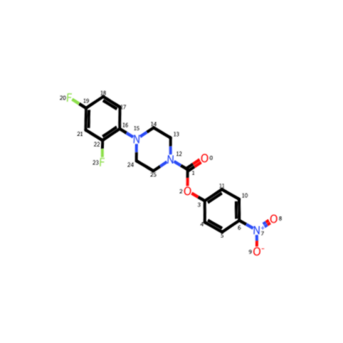 O=C(Oc1ccc([N+](=O)[O-])cc1)N1CCN(c2ccc(F)cc2F)CC1